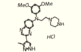 COc1cc(OC)cc(N(CCN2CCNCC2)c2ccc3ncc(-c4c[nH]nc4C)nc3c2)c1.Cl